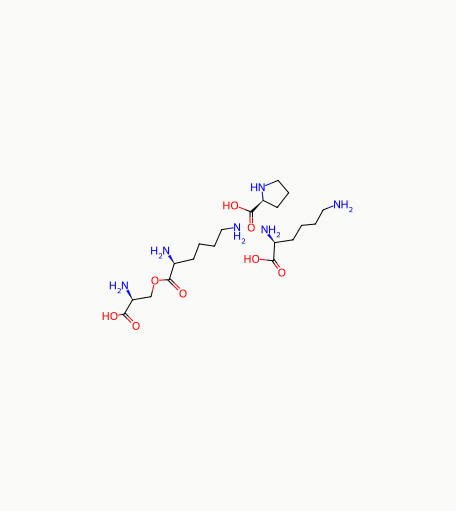 NCCCC[C@H](N)C(=O)O.NCCCC[C@H](N)C(=O)OC[C@H](N)C(=O)O.O=C(O)[C@@H]1CCCN1